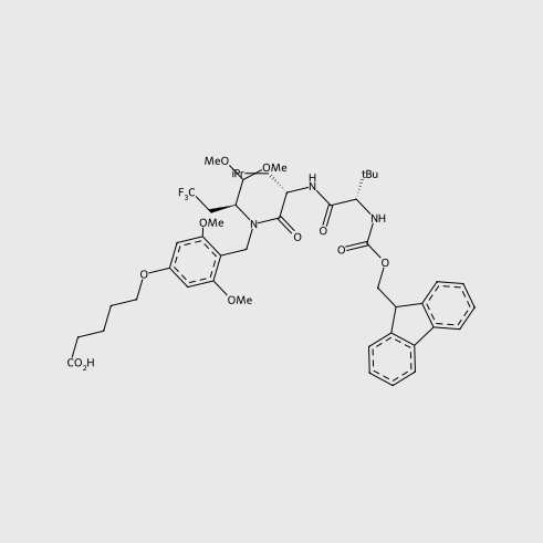 COc1cc(OCCCCC(=O)O)cc(OC)c1CN(C(=O)[C@H](CC(C)C)NC(=O)[C@@H](NC(=O)OCC1c2ccccc2-c2ccccc21)C(C)(C)C)[C@@H](CC(F)(F)F)C(OC)OC